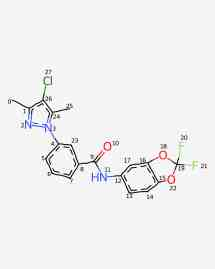 Cc1nn(-c2cccc(C(=O)Nc3ccc4c(c3)OC(F)(F)O4)c2)c(C)c1Cl